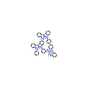 c1ccc(-n2c3ccccc3c3c4ccccc4n(-c4ccc5c(c4)c4c6ccccc6n(-c6ccccc6)c4n5-c4cccc(-n5c6ccccc6n6c7ccccc7nc56)c4)c32)cc1